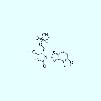 C[C@@H]1NC(=O)N(c2nc3c4c(ccc3s2)OCC4)[C@@H]1COS(C)(=O)=O